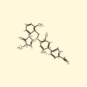 Cc1cc(OCc2c(C)cccc2-n2nnn(C)c2=O)c(Cl)cc1-c1ccc(C#N)nc1